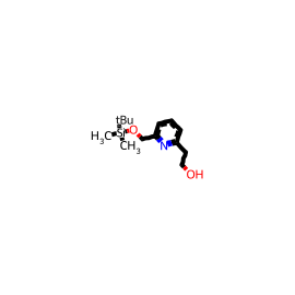 CC(C)(C)[Si](C)(C)OCc1cccc(CCO)n1